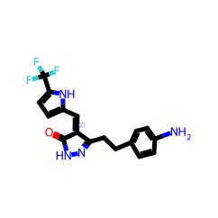 Nc1ccc(CCC2=NNC(=O)/C2=C\c2ccc(C(F)(F)F)[nH]2)cc1